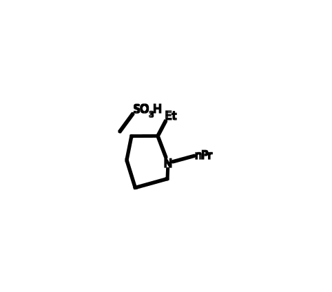 CCCN1CCCCC1CC.CS(=O)(=O)O